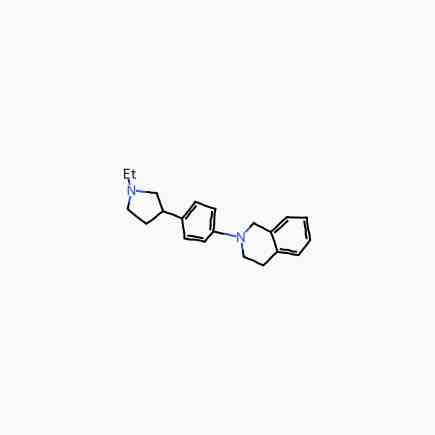 CCN1CCC(c2ccc(N3CCc4ccccc4C3)cc2)C1